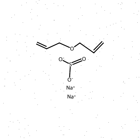 C=CCOCC=C.O=S([O-])[O-].[Na+].[Na+]